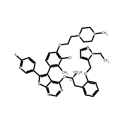 Cc1c(-c2c(-c3ccc(F)nc3)sc3ncnc(O[C@H](Cc4ccccc4OCc4ccnn4CC(F)(F)F)C(=O)O)c23)ccc(OCCN2CCN(C)CC2)c1Cl